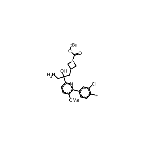 COc1ccc(C(O)(CN)CC2CN(C(=O)OC(C)(C)C)C2)nc1-c1ccc(F)c(Cl)c1